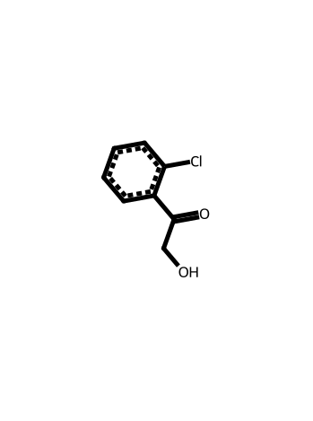 O=C(CO)c1ccccc1Cl